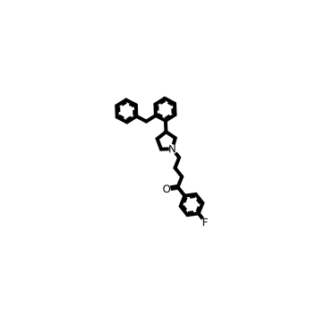 O=C(CCCN1CCC(c2ccccc2Cc2ccccc2)C1)c1ccc(F)cc1